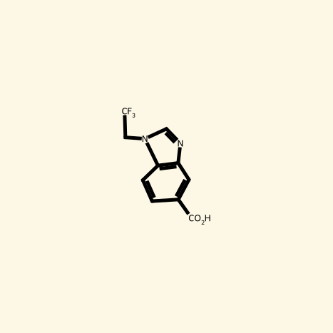 O=C(O)c1ccc2c(c1)ncn2CC(F)(F)F